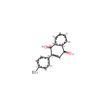 CCc1ccc(C2=CC(=O)c3ccccc3C2=O)cc1